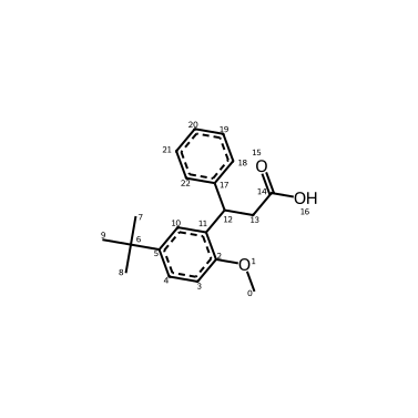 COc1ccc(C(C)(C)C)cc1C(CC(=O)O)c1ccccc1